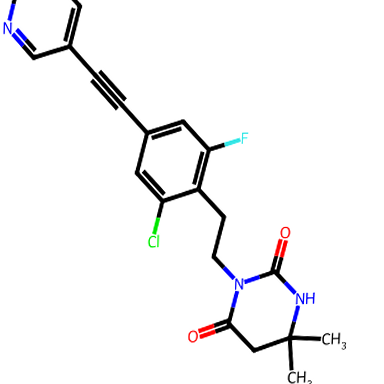 CC1(C)CC(=O)N(CCc2c(F)cc(C#Cc3cccnc3)cc2Cl)C(=O)N1